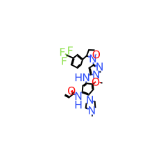 C=CC(=O)Nc1cc(Nc2cc(N3OCCC3c3cccc(C(F)(F)F)c3)ncn2)c(OC)cc1N1CCN(C)CC1